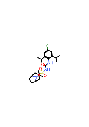 CC(C)c1cc(Cl)cc(C(C)C)c1NC(=O)NS(=O)(=O)C1CC2CCC(C1)N2C(C)C